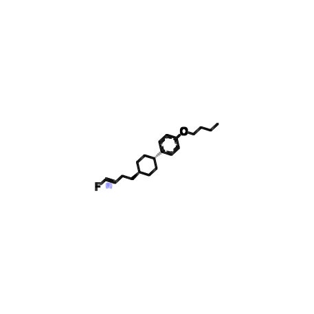 CCCCOc1ccc([C@H]2CC[C@H](CC/C=C/F)CC2)cc1